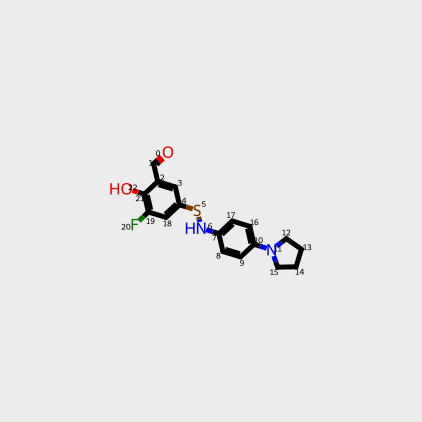 O=Cc1cc(SNc2ccc(N3CCCC3)cc2)cc(F)c1O